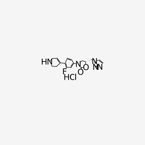 Cl.O=C1O[C@@H](Cn2ccnn2)CN1c1ccc(C2=CCNCC2)c(F)c1